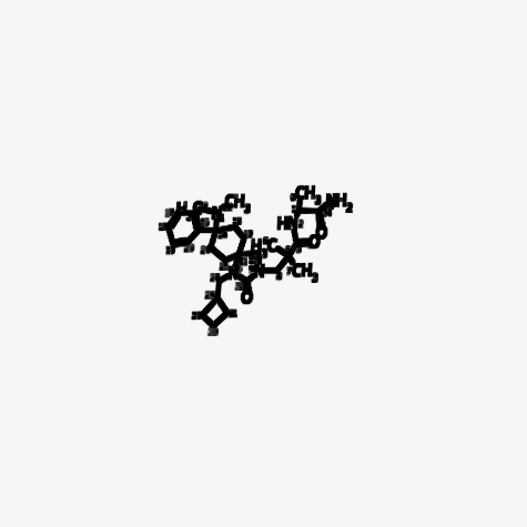 CC(NC(=O)C(C)(C)CN1CC2(CCC(c3ccccc3)(N(C)C)CC2)N(CC2CCC2)C1=O)C(N)=O